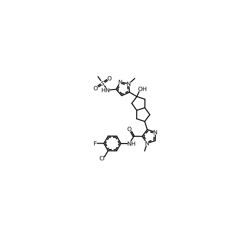 Cn1cnc(C2CC3CC(O)(c4cc(NS(C)(=O)=O)nn4C)CC3C2)c1C(=O)Nc1ccc(F)c(Cl)c1